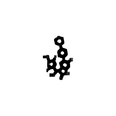 COc1cc(F)c(/C(O)=C2/C(=O)Nc3cc(Cl)c(-c4ccc(N5CCOCC5)cc4)cc32)cc1F